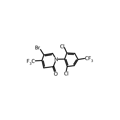 O=c1cc(C(F)(F)F)c(Br)cn1-c1c(Cl)cc(C(F)(F)F)cc1Cl